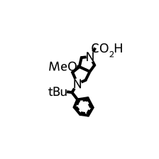 COC12CN(C(=O)O)CC1CN(C(c1ccccc1)C(C)(C)C)C2